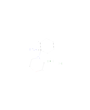 Cl.Cl.NC1(N2CCOCC2)CCCCC1